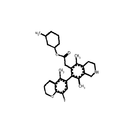 Cc1c(-c2c(C)c3c(c(C)c2CC(=O)OC2CCCC(C)C2)CCNC3)cc(F)c2c1CCCO2